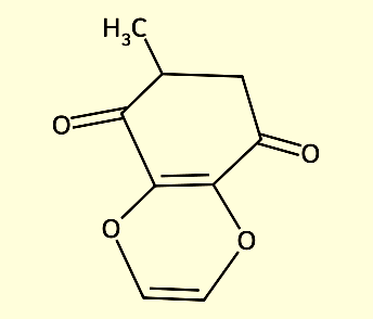 CC1CC(=O)C2=C(OC=CO2)C1=O